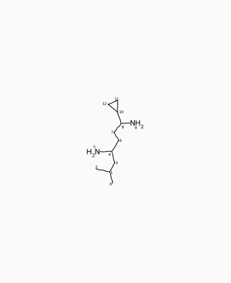 CC(C)CC(N)CCC(N)C1CC1